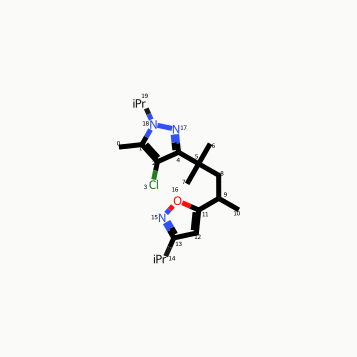 Cc1c(Cl)c(C(C)(C)CC(C)c2cc(C(C)C)no2)nn1C(C)C